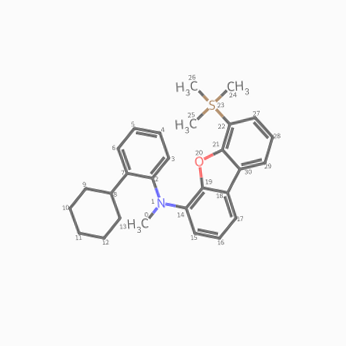 CN(c1ccccc1C1CCCCC1)c1cccc2c1oc1c(S(C)(C)C)cccc12